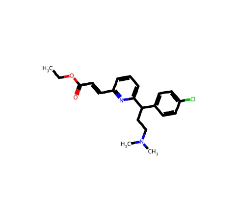 CCOC(=O)C=Cc1cccc(C(CCN(C)C)c2ccc(Cl)cc2)n1